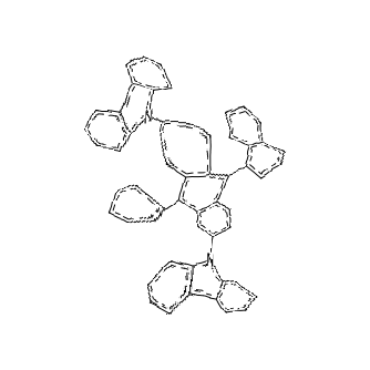 c1ccc(-c2c3cc(-n4c5ccccc5c5ccccc54)ccc3c(-c3cccc4ccccc34)c3ccc(-n4c5ccccc5c5ccccc54)cc23)cc1